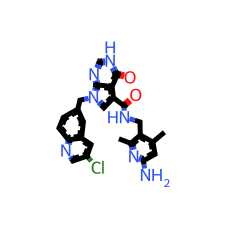 Cc1cc(N)nc(C)c1CNC(=O)c1cn(Cc2ccc3ncc(Cl)cc3c2)c2nc[nH]c(=O)c12